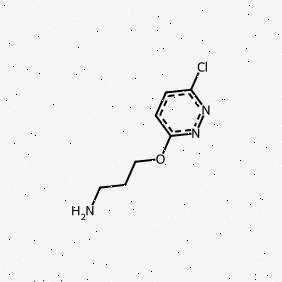 NCCCOc1ccc(Cl)nn1